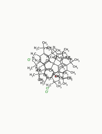 CC1=C(C)C(C)([Si](c2c([Si](C)(C)C)c([Si](C)(C)C)c(C)c([Si](C)(C)C)c2[Si](C)(C)C)(c2c([Si](C)(C)C)c([Si](C)(C)C)c(C)c([Si](C)(C)C)c2[Si](C)(C)C)c2c([Si](C)(C)C)c([Si](C)(C)C)c(C)c([Si](C)(C)C)c2[Si](C)(C)C)[C]([Ti+3])=C1C.[Cl-].[Cl-].[Cl-]